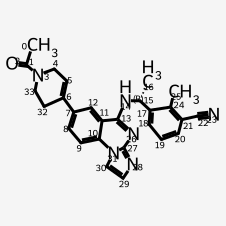 CC(=O)N1CC=C(c2ccc3c(c2)c(N[C@H](C)c2cccc(C#N)c2C)nc2nccn23)CC1